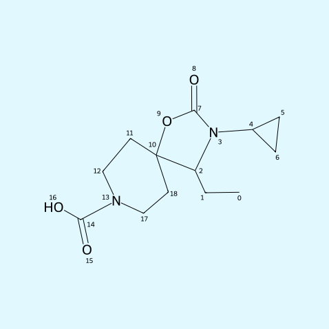 CCC1N(C2CC2)C(=O)OC12CCN(C(=O)O)CC2